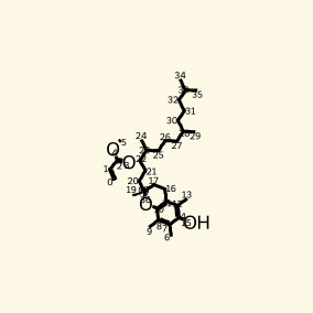 C=CC(=O)OC.Cc1c(C)c2c(c(C)c1O)CC[C@@](C)(CCCC(C)CCCC(C)CCCC(C)C)O2